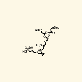 CCCCCCCCCCCC(=O)OC[C@H](CSC[C@H](N)CNC1(COCCCP(=O)(O)O)CC1)OC(=O)CCCCCCCCCCC